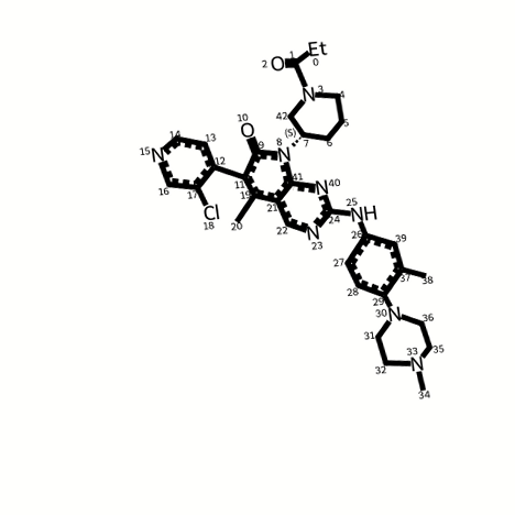 CCC(=O)N1CCC[C@H](n2c(=O)c(-c3ccncc3Cl)c(C)c3cnc(Nc4ccc(N5CCN(C)CC5)c(C)c4)nc32)C1